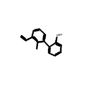 C=Cc1cccc(-c2ccccc2SC)c1C